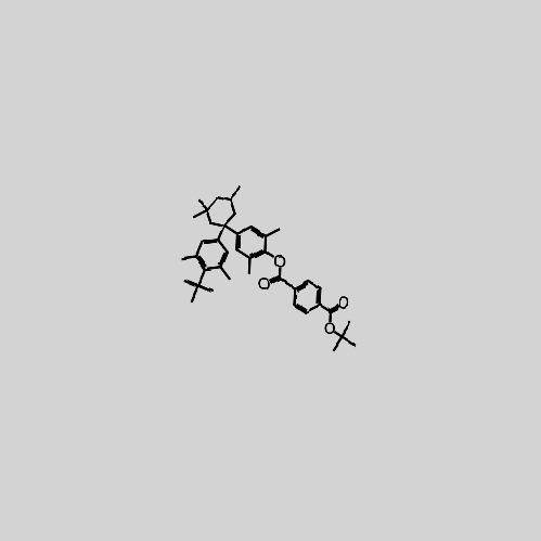 Cc1cc(C2(c3cc(C)c(C(C)(C)C)c(C)c3)CC(C)CC(C)(C)C2)cc(C)c1OC(=O)c1ccc(C(=O)OC(C)(C)C)cc1